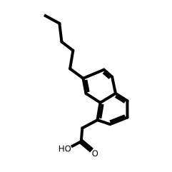 CCCCCc1ccc2cccc(CC(=O)O)c2c1